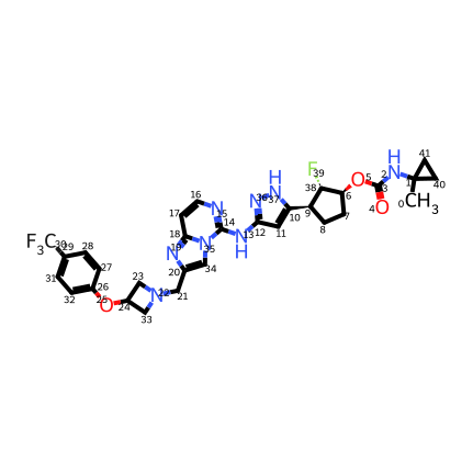 CC1(NC(=O)O[C@H]2CC[C@@H](c3cc(Nc4nccc5nc(CN6CC(Oc7ccc(C(F)(F)F)cc7)C6)cn45)n[nH]3)[C@@H]2F)CC1